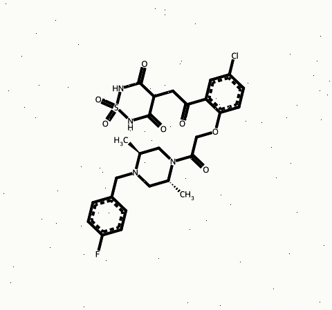 C[C@@H]1CN(Cc2ccc(F)cc2)[C@@H](C)CN1C(=O)COc1ccc(Cl)cc1C(=O)CC1C(=O)NS(=O)(=O)NC1=O